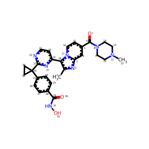 Cc1nc2cc(C(=O)N3CCN(C)CC3)ccn2c1-c1ccnc(C2(c3ccc(C(=O)NO)cc3)CC2)n1